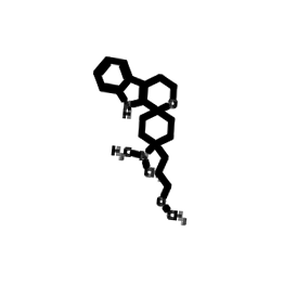 COCCCC1(N(C)C)CCC2(CC1)OCCc1c2[nH]c2ccccc12